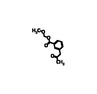 COCOC(=O)c1cccc(CC(C)=O)c1